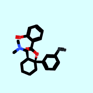 COc1cccc([C@@]2(OC(=O)c3ccccc3O)CCCC[C@H]2CN(C)C)c1